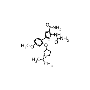 COc1ccc(-c2cc(C(N)=O)c(NC(N)=O)s2)c(OC2CCN(C(C)C)C2)c1